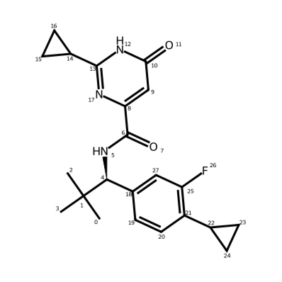 CC(C)(C)[C@@H](NC(=O)c1cc(=O)[nH]c(C2CC2)n1)c1ccc(C2CC2)c(F)c1